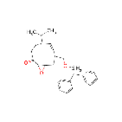 CC(C)C1C=CC(CO[SiH2]C(c2ccccc2)c2ccccc2)CC2OC2C(=O)CC1